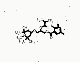 CN1C(C)(C)CC(OCC(COC(=O)c2cc(I)cc(I)c2I)OC(=O)C(C(F)(F)F)C(F)(F)F)CC1(C)C